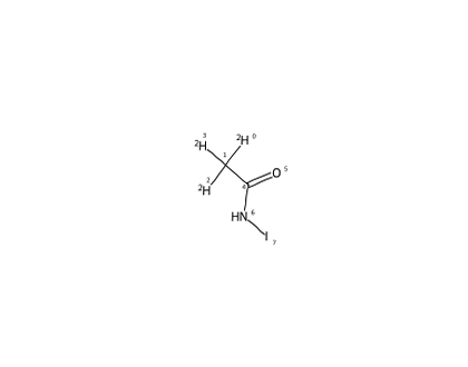 [2H]C([2H])([2H])C(=O)NI